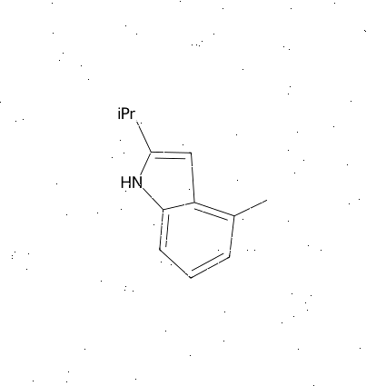 Cc1cccc2[nH]c(C(C)C)cc12